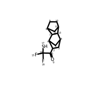 O=C(C1CC2CC1C1C3CCC(C3)C21)C(F)(F)S